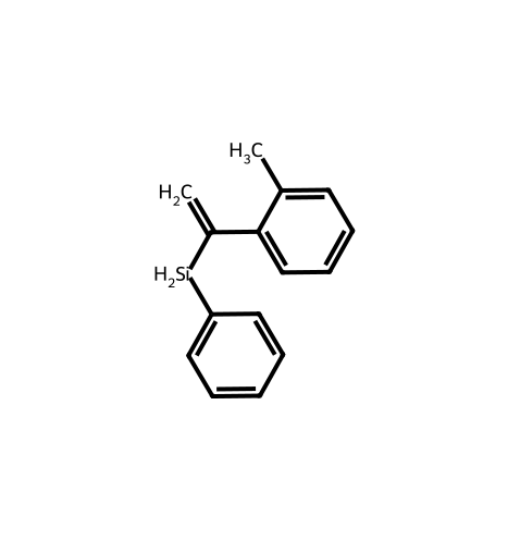 C=C([SiH2]c1ccccc1)c1ccccc1C